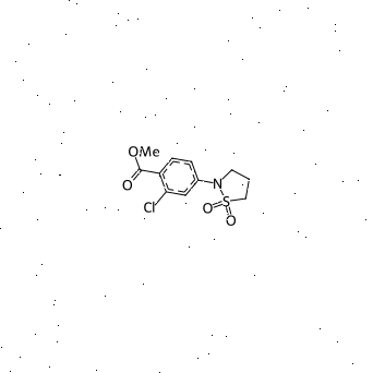 COC(=O)c1ccc(N2CCCS2(=O)=O)cc1Cl